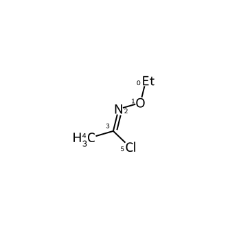 CCON=C(C)Cl